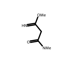 CNC(=O)CC(=N)OC